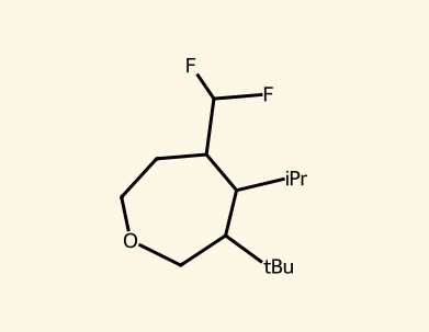 CC(C)C1C(C(F)F)CCOCC1C(C)(C)C